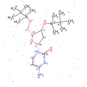 CC(C)(C)[Si](C)(C)OC[C@H]1O[C@@H](n2ccc(N)nc2=O)CC1O[Si](C)(C)C(C)(C)C